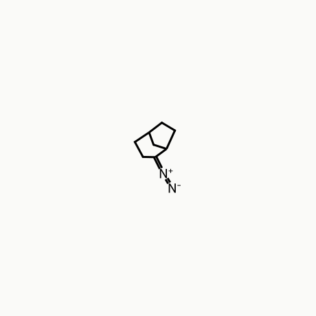 [N-]=[N+]=C1CCC2CCC1C2